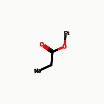 CCOC(=O)[CH2][Na]